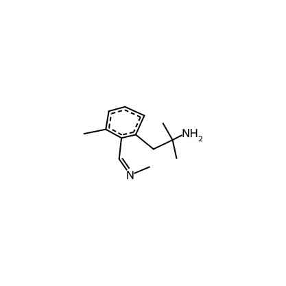 C/N=C\c1c(C)cccc1CC(C)(C)N